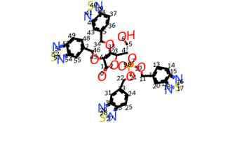 O=C1O[C@H]([C@H](CO)OP(=O)(OCc2ccc3nsnc3c2)OCc2ccc3nsnc3c2)C(OCc2ccc3nsnc3c2)=C1OCc1ccc2nsnc2c1